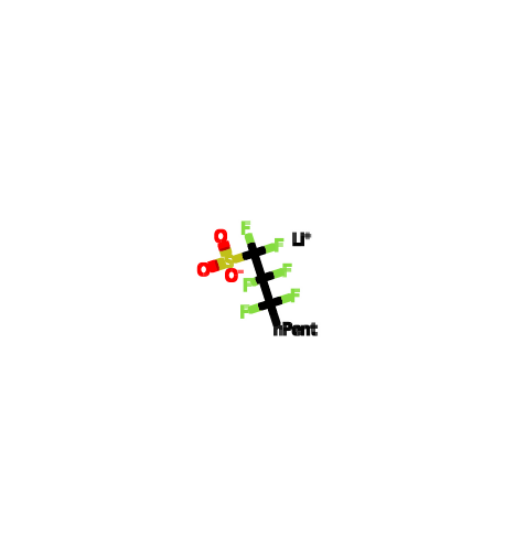 CCCCCC(F)(F)C(F)(F)C(F)(F)S(=O)(=O)[O-].[Li+]